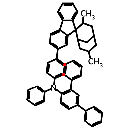 CC1CC2CC(C)C3(c4ccccc4-c4ccc(-c5ccc(N(c6ccccc6)c6ccc(-c7ccccc7)cc6-c6ccccc6)cc5)cc43)C(C1)C2